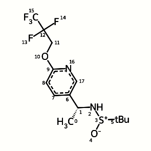 C[C@@H](N[S+]([O-])C(C)(C)C)c1ccc(OCC(F)(F)C(F)(F)F)nc1